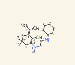 CN(CCNC1CCCCC1)C1=C(C#N)C(=C(C#N)C#N)CC(C)(C)C1